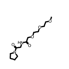 COCCOCCOCC(=O)NCC(=O)N1CCCC1